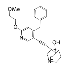 COCCOc1cc(Cc2ccccc2)c(C#CC2(O)CN3CCC2CC3)cn1